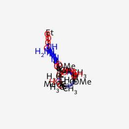 CCOCCOCCOCCNC(=O)c1cnc(N2CCN(c3ncc4c(n3)CCN(C(=O)O[C@@H]3CC[C@@H](C[C@@H](C)C5CC(=O)[C@H](C)/C=C(\C)C(O)[C@@H](OC)C(=O)[C@H](C)C[C@H](C)/C=C/C=C/C=C(\C)[C@@H](OC)C[C@@H]6CC[C@@H](C)[C@@](O)(O6)C(=O)C(=O)N6CCCC[C@H]6C(=O)O5)C[C@H]3OC)C4)CC2)nc1N